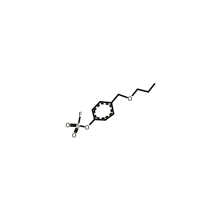 CCCOCc1ccc(OS(=O)(=O)F)cc1